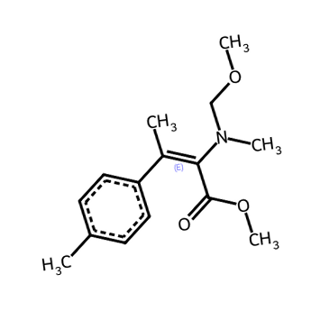 COCN(C)/C(C(=O)OC)=C(\C)c1ccc(C)cc1